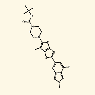 Cc1c(N2CCN(C(=O)OC(C)(C)C)CC2)sc2nc(-c3cc(F)c4nn(C)cc4c3)sc12